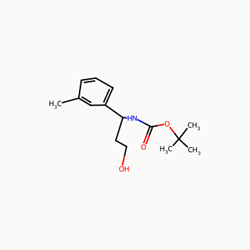 Cc1cccc(C(CCO)NC(=O)OC(C)(C)C)c1